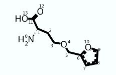 N[C@@H](CCOCc1ccco1)C(=O)O